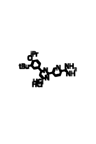 CC(C)Oc1ccc(-c2ccnc(-c3ccc(C(=N)N)nc3)n2)cc1C(C)(C)C.Cl.Cl